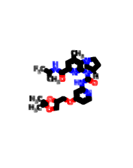 Cc1cc(C(=O)NC(C)C(F)(F)F)nc2c1N1CC[C@@H](C1)N2C(=O)Nc1cc(OCC2COC(C)(C)O2)ccn1